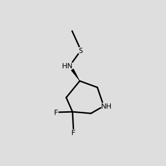 CSN[C@H]1CNCC(F)(F)C1